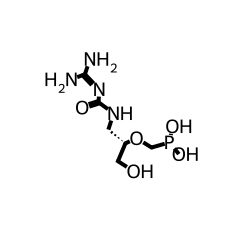 NC(N)=NC(=O)NC[C@@H](CO)OCP(O)O